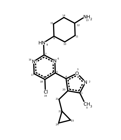 Cc1noc(-c2nc(NC3CCC(N)CC3)ncc2Cl)c1CC1CC1